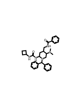 CN(C)C1CN(C(c2ccccc2)c2ccccc2)C(NC(=O)NC2CCC2)CC1CNC(=O)c1ccccc1